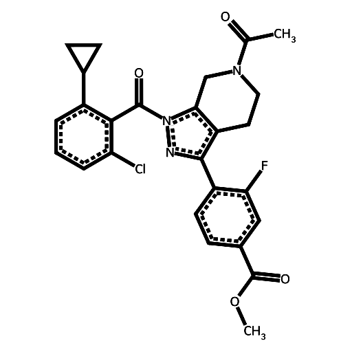 COC(=O)c1ccc(-c2nn(C(=O)c3c(Cl)cccc3C3CC3)c3c2CCN(C(C)=O)C3)c(F)c1